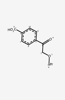 CCCOCC(=O)c1ccc(C(=O)O)cc1